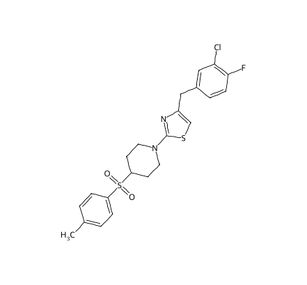 Cc1ccc(S(=O)(=O)C2CCN(c3nc(Cc4ccc(F)c(Cl)c4)cs3)CC2)cc1